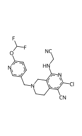 N#CCNc1nc(Cl)c(C#N)c2c1CN(Cc1ccc(OC(F)F)nc1)CC2